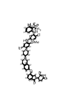 CCc1cc(Nc2ncc(Cl)c(Nc3ccccc3P(C)(C)=O)n2)c(OC)cc1N1CCC(N2CCc3ccc(Oc4cccc5c4CN(C4CCC(=O)NC4=O)C5=O)cc3C2)CC1